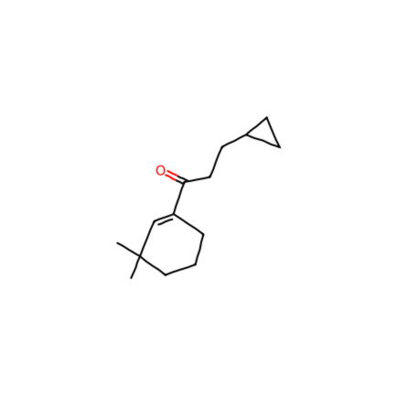 CC1(C)C=C(C(=O)CCC2CC2)CCC1